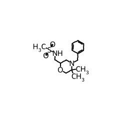 CC1(C)COC(CNS(C)(=O)=O)CN1Cc1ccccc1